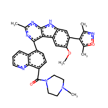 COc1cc2c(cc1-c1c(C)noc1C)[nH]c1nc(C)nc(-c3ccc(C(=O)N4CCN(C)CC4)c4ncccc34)c12